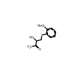 COc1ccccc1SCC(O)C(=O)C(F)(F)F